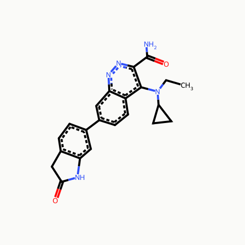 CCN(c1c(C(N)=O)nnc2cc(-c3ccc4c(c3)NC(=O)C4)ccc12)C1CC1